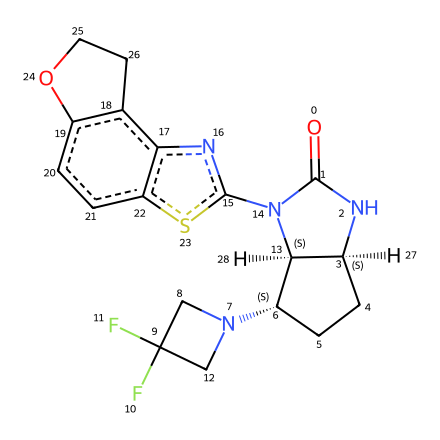 O=C1N[C@H]2CC[C@H](N3CC(F)(F)C3)[C@H]2N1c1nc2c3c(ccc2s1)OCC3